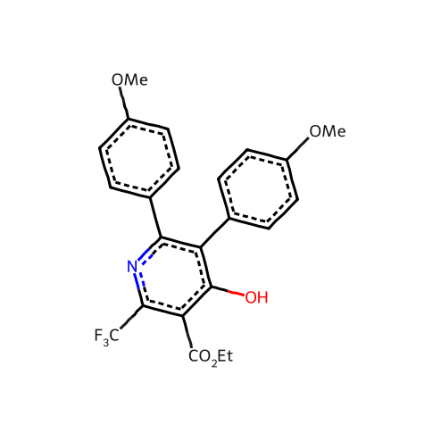 CCOC(=O)c1c(C(F)(F)F)nc(-c2ccc(OC)cc2)c(-c2ccc(OC)cc2)c1O